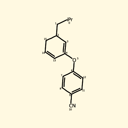 CC(C)CC1C=C(Oc2ccc(C#N)cc2)C=CC1